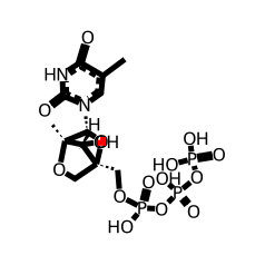 Cc1cn([C@@H]2O[C@@]3(COP(=O)(O)OP(=O)(O)OP(=O)(O)O)CO[C@]2(C)[C@@H]3O)c(=O)[nH]c1=O